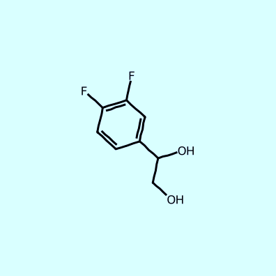 OCC(O)c1ccc(F)c(F)c1